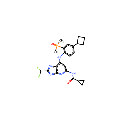 CP(C)(=O)c1cc(C2CCC2)ccc1Nc1cc(NC(=O)C2CC2)nc2[nH]c(C(F)F)nc12